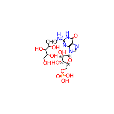 Nc1nc2c(ncn2[C@@H]2O[C@H](COP(=O)(O)O)[C@@H](O)[C@H]2O)c(=O)[nH]1.O=CC(O)C(O)C(O)CO